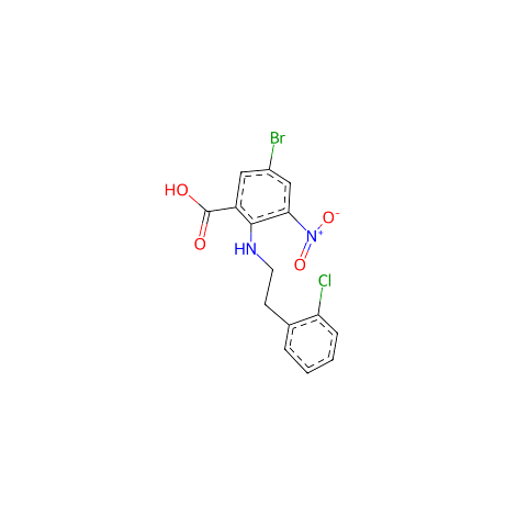 O=C(O)c1cc(Br)cc([N+](=O)[O-])c1NCCc1ccccc1Cl